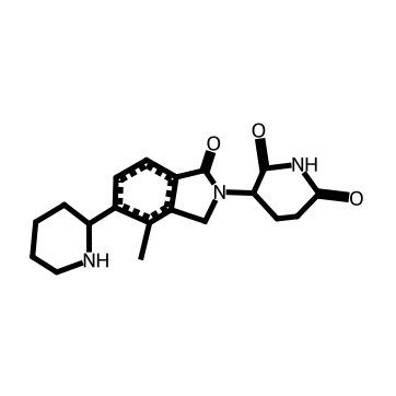 Cc1c(C2CCCCN2)ccc2c1CN(C1CCC(=O)NC1=O)C2=O